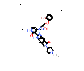 CN1CCC(N2Cc3cc4[nH]c(-c5c(NC[C@@H](O)COc6ccccc6Br)cc[nH]c5=O)nc4cc3C2=O)CC1